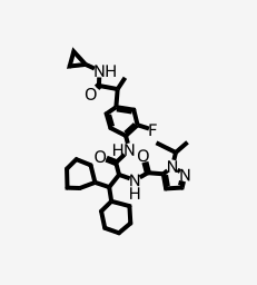 CC(C(=O)NC1CC1)c1ccc(NC(=O)C(NC(=O)c2ccnn2C(C)C)C(C2CCCCC2)C2CCCCC2)c(F)c1